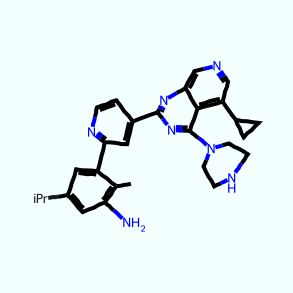 Cc1c(N)cc(C(C)C)cc1-c1cc(-c2nc(N3CCNCC3)c3c(C4CC4)cncc3n2)ccn1